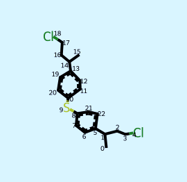 CC(CCCl)c1ccc(Sc2ccc(C(C)CCCl)cc2)cc1